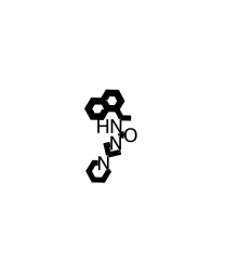 CC(NC(=O)N1CC(N2CCCCC2)C1)c1cccc2ccccc12